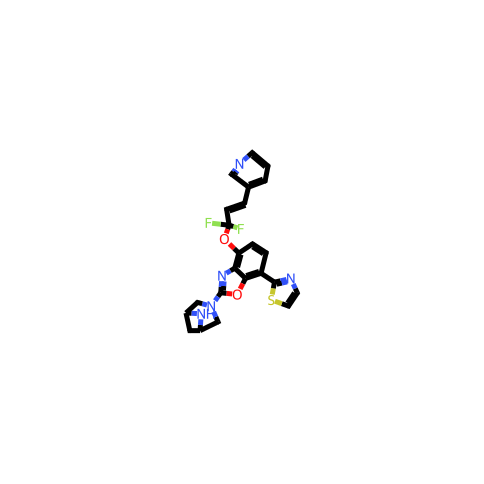 FC(F)(C=Cc1cccnc1)Oc1ccc(-c2nccs2)c2oc(N3CC4CC(C3)N4)nc12